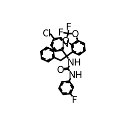 O=C(Nc1cccc(F)c1)NC(Cc1ccccc1)(c1ccc(Cl)cn1)c1cccc2c1OC(F)(F)O2